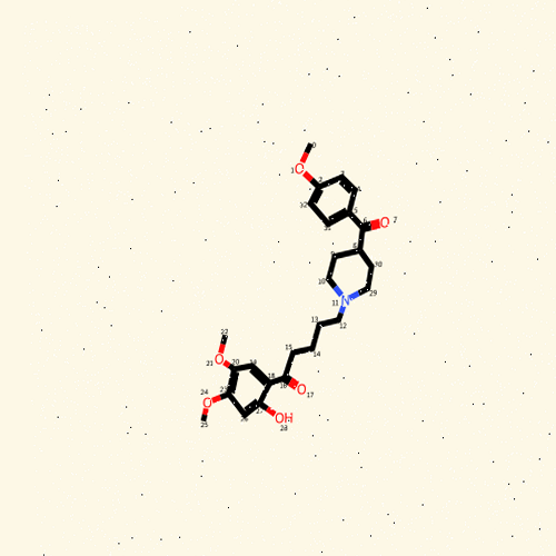 COc1ccc(C(=O)C2CCN(CCCCC(=O)c3cc(OC)c(OC)cc3O)CC2)cc1